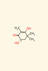 CC1=C(O)C(C)(C)C[C@H](O)C1=O